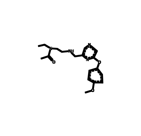 CCN(CCNCc1cncc(Oc2ccc(OC)cc2)n1)C(C)=O